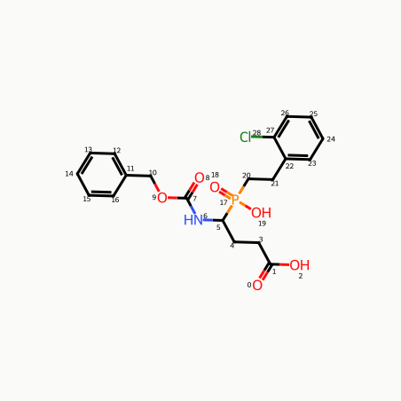 O=C(O)CCC(NC(=O)OCc1ccccc1)P(=O)(O)CCc1ccccc1Cl